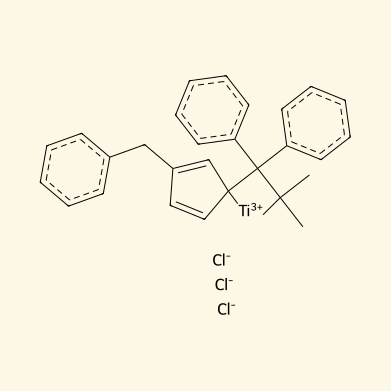 CC(C)(C)C(c1ccccc1)(c1ccccc1)[C]1([Ti+3])C=CC(Cc2ccccc2)=C1.[Cl-].[Cl-].[Cl-]